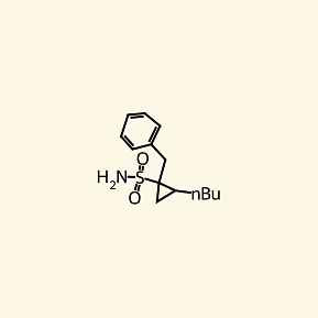 CCCCC1CC1(Cc1ccccc1)S(N)(=O)=O